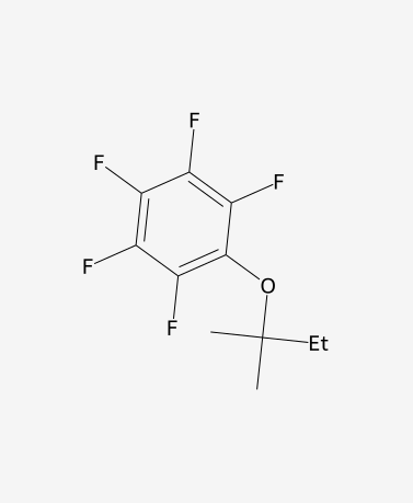 CCC(C)(C)Oc1c(F)c(F)c(F)c(F)c1F